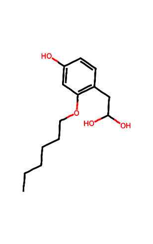 CCCCCCOc1cc(O)ccc1CC(O)O